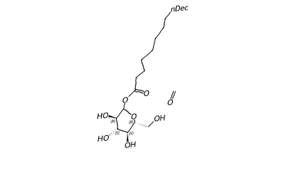 C=O.CCCCCCCCCCCCCCCCCC(=O)OC1O[C@H](CO)[C@@H](O)[C@H](O)[C@H]1O